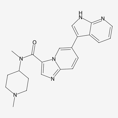 CN1CCC(N(C)C(=O)c2cnc3ccc(-c4c[nH]c5ncccc45)cn23)CC1